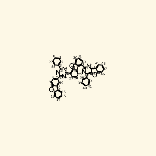 c1ccc(-c2nc(-c3ccc4oc5ccccc5c4c3)nc(-c3cccc4c3oc3cccc(-c5nc(-c6ccccc6)c6oc7ccccc7c6n5)c34)n2)cc1